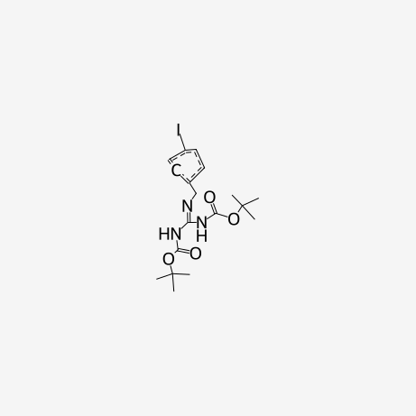 CC(C)(C)OC(=O)NC(=NCc1ccc(I)cc1)NC(=O)OC(C)(C)C